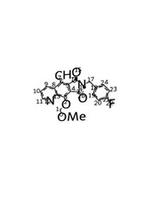 COCOc1c2c(c(C)c3cccnc13)C(=O)N(Cc1ccc(F)cc1)C2=O